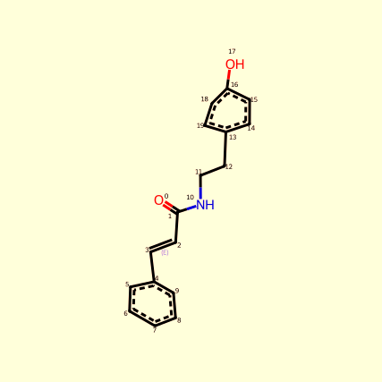 O=C(/C=C/c1ccccc1)NCCc1ccc(O)cc1